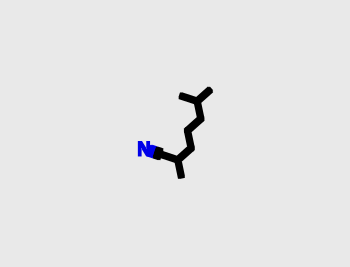 CC(C)CCCC(C)C#N